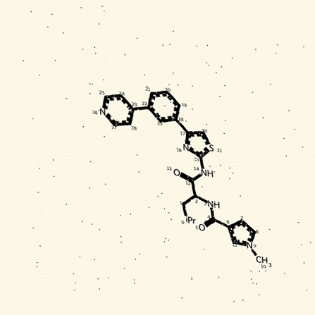 CC(C)CC(NC(=O)c1ccn(C)c1)C(=O)Nc1nc(-c2cccc(-c3ccncc3)c2)cs1